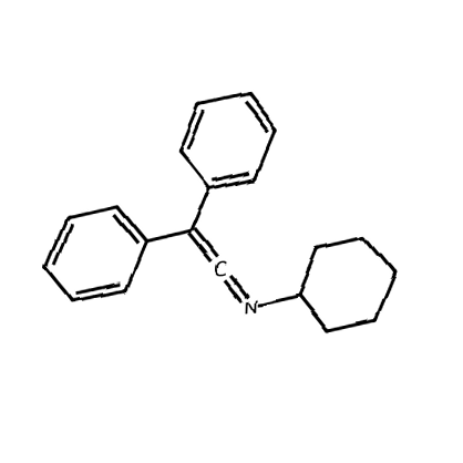 C(=NC1CCCCC1)=C(c1ccccc1)c1ccccc1